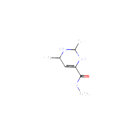 CNNC(=O)C1=CC(N=O)NC(N=O)N1